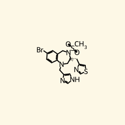 CS(=O)(=O)N1Cc2cc(Br)ccc2N(Cc2c[nH]cn2)C[C@H]1Cc1cscn1